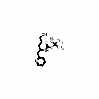 CC(C)(C)OC(=O)NC(CCCO)Cc1ccccn1